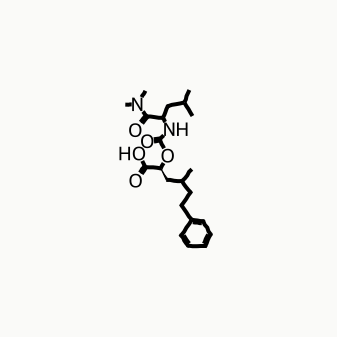 CC(C)CC(NC(=O)O[C@@H](CC(C)CCc1ccccc1)C(=O)O)C(=O)N(C)C